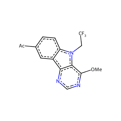 COc1ncnc2c3cc(C(C)=O)ccc3n(CC(F)(F)F)c12